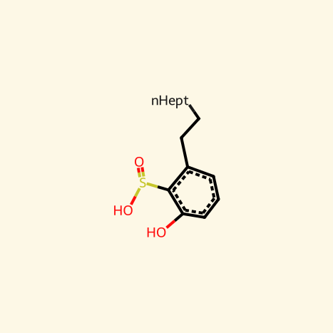 CCCCCCCCCc1cccc(O)c1S(=O)O